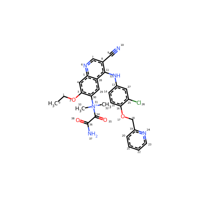 CCOc1cc2ncc(C#N)c(Nc3ccc(OCc4ccccn4)c(Cl)c3)c2cc1[N+](C)(C)C(=O)C(N)=O